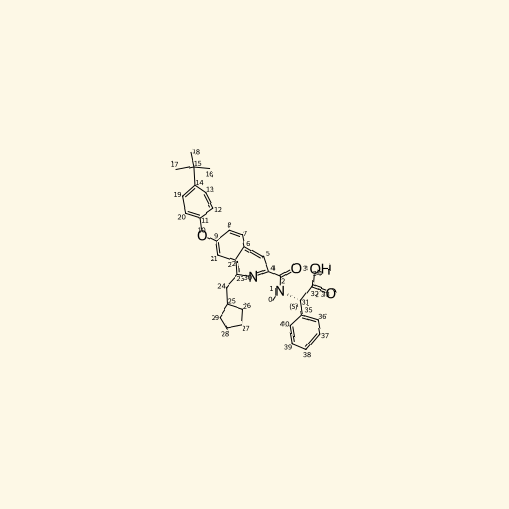 CN(C(=O)c1cc2ccc(Oc3ccc(C(C)(C)C)cc3)cc2c(CC2CCCC2)n1)[C@H](C(=O)O)c1ccccc1